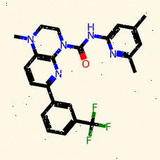 Cc1cc(C)nc(NC(=O)N2CCN(C)c3ccc(-c4cccc(C(F)(F)F)c4)nc32)c1